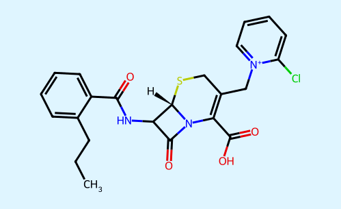 CCCc1ccccc1C(=O)NC1C(=O)N2C(C(=O)O)=C(C[n+]3ccccc3Cl)CS[C@@H]12